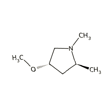 CO[C@H]1C[C@H](C)N(C)C1